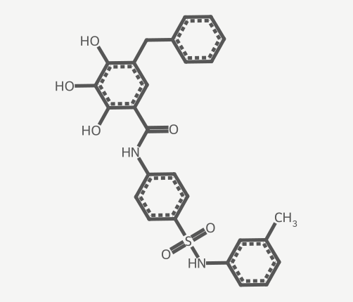 Cc1cccc(NS(=O)(=O)c2ccc(NC(=O)c3cc(Cc4ccccc4)c(O)c(O)c3O)cc2)c1